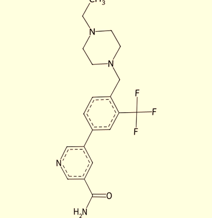 CCN1CCN(Cc2ccc(-c3cncc(C(N)=O)c3)cc2C(F)(F)F)CC1